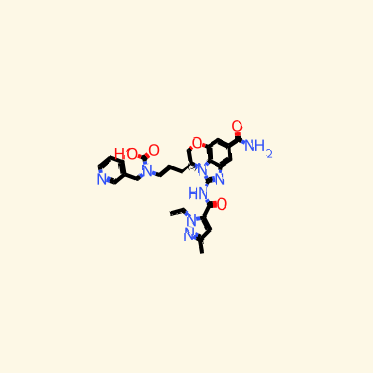 CCn1nc(C)cc1C(=O)Nc1nc2cc(C(N)=O)cc3c2n1[C@@H](CCCN(Cc1cccnc1)C(=O)O)CO3